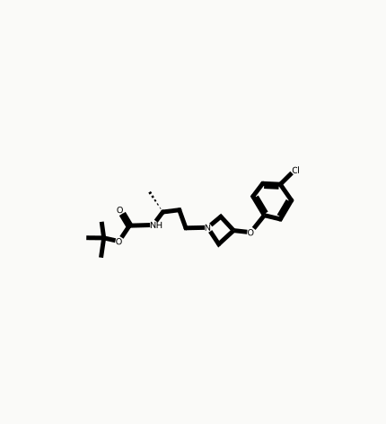 C[C@H](CCN1CC(Oc2ccc(Cl)cc2)C1)NC(=O)OC(C)(C)C